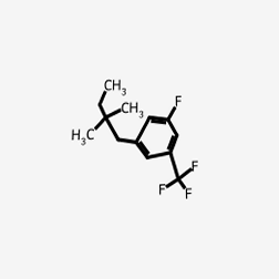 CCC(C)(C)Cc1cc(F)cc(C(F)(F)F)c1